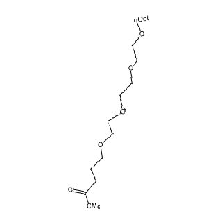 CCCCCCCCOCCOCCOCCOCCCC(=O)OC